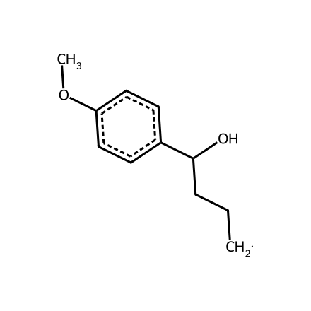 [CH2]CCC(O)c1ccc(OC)cc1